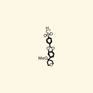 COC1(c2ccc3c(c2)OC(c2ccc(S(C)(=O)=O)cc2)O3)CCOCC1